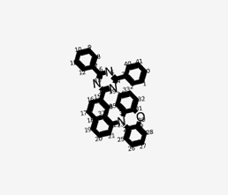 c1ccc(-c2nc(-c3ccccc3)nc(-c3ccc4cccc(N5c6ccccc6Oc6ccccc65)c4c3)n2)cc1